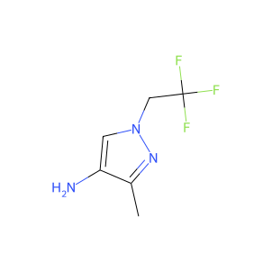 Cc1nn(CC(F)(F)F)cc1N